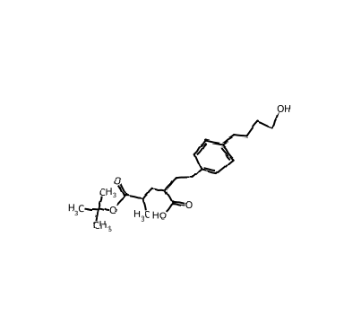 CC(CC(CCc1ccc(CCCCO)cc1)C(=O)O)C(=O)OC(C)(C)C